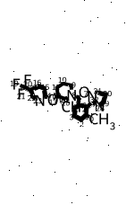 Cc1cccc(C(=O)N2CCC[C@@H](Oc3ccc(C(F)(F)F)cn3)[C@@H]2C)c1-c1ncccn1